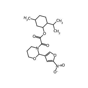 CC1CCC(C(C)C)C(OC(=O)C(=O)N2CCCOC2c2coc([N+](=O)[O-])c2)C1